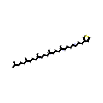 CC(C)=CCC/C(C)=C/CC/C(C)=C/CC/C(C)=C/CC/C(C)=C/CC/C=C/CCc1ccsc1